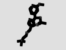 COc1cc(C(OC(C)=O)c2cn(COCC[Si](C)(C)C)cn2)ccn1